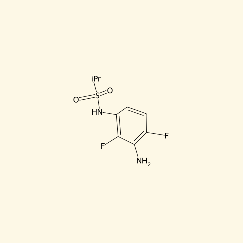 CC(C)S(=O)(=O)Nc1ccc(F)c(N)c1F